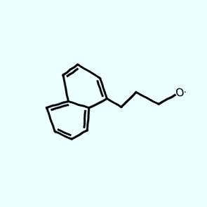 [O]CCCc1cccc2ccccc12